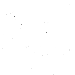 CCN(CC)CCCC(C)Nc1cc(OC)cc2c(C)ccnc12